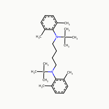 Cc1cccc(C)c1N(CCCCN(c1c(C)cccc1C)[Si](C)(C)C)[Si](C)(C)C